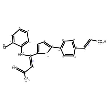 N=C(/C=C(\Nc1ccccc1Cl)c1ccc(-c2ccc(/C=C/C(=O)O)cc2)s1)C(F)(F)F